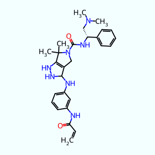 C=CC(=O)Nc1cccc(NC2NNC3=C2CN(C(=O)N[C@H](CN(C)C)c2ccccc2)C3(C)C)c1